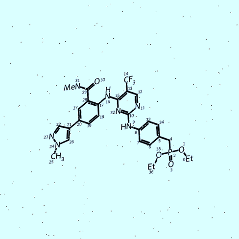 CCOP(=O)(Cc1ccc(Nc2ncc(C(F)(F)F)c(Nc3ccc(-c4cnn(C)c4)cc3C(=O)NC)n2)cc1)OCC